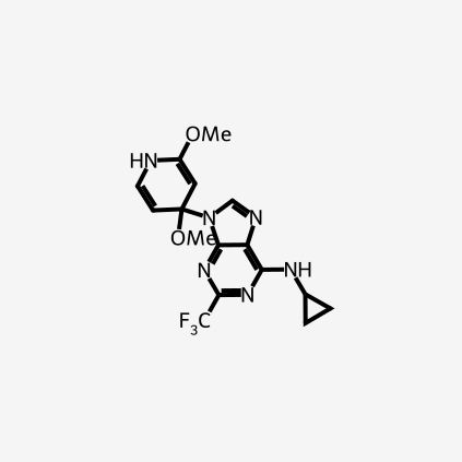 COC1=CC(OC)(n2cnc3c(NC4CC4)nc(C(F)(F)F)nc32)C=CN1